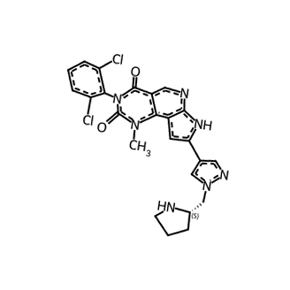 Cn1c(=O)n(-c2c(Cl)cccc2Cl)c(=O)c2cnc3[nH]c(-c4cnn(C[C@@H]5CCCN5)c4)cc3c21